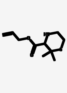 C=CCOC(=O)C1NCCSC1(C)C